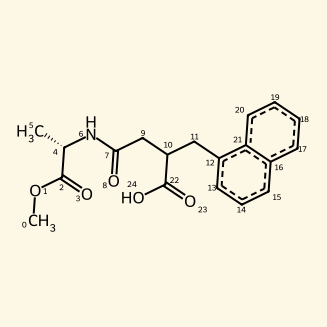 COC(=O)[C@H](C)NC(=O)CC(Cc1cccc2ccccc12)C(=O)O